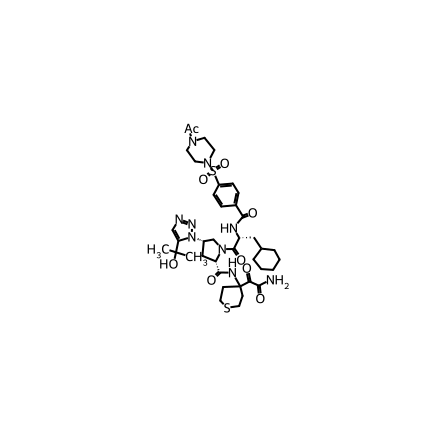 CC(=O)N1CCN(S(=O)(=O)c2ccc(C(=O)N[C@H](CC3CCCCC3)C(=O)N3C[C@@H](n4nncc4C(C)(C)O)C[C@H]3C(=O)NC3(C(=O)C(N)=O)CCSCC3)cc2)CC1